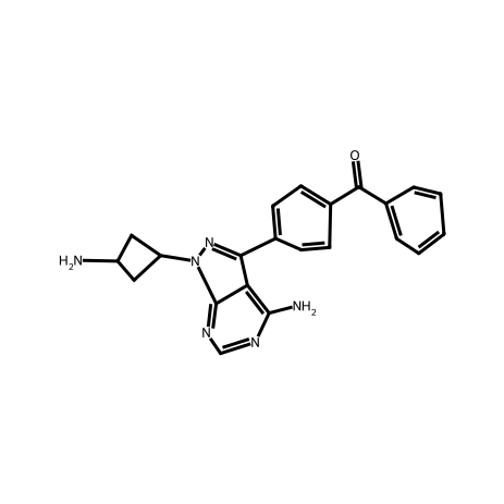 Nc1ncnc2c1c(-c1ccc(C(=O)c3ccccc3)cc1)nn2C1CC(N)C1